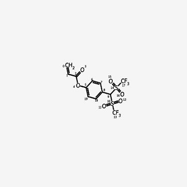 C=CC(=O)Oc1ccc(C(S(=O)(=O)C(F)(F)F)S(=O)(=O)C(F)(F)F)cc1